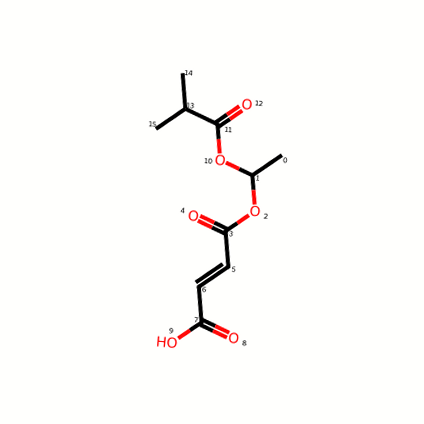 CC(OC(=O)/C=C/C(=O)O)OC(=O)C(C)C